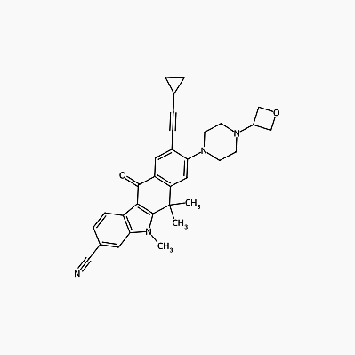 Cn1c2c(c3ccc(C#N)cc31)C(=O)c1cc(C#CC3CC3)c(N3CCN(C4COC4)CC3)cc1C2(C)C